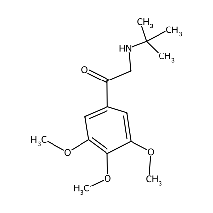 COc1cc(C(=O)CNC(C)(C)C)cc(OC)c1OC